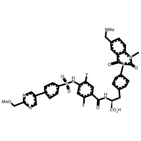 CNCc1ccc2c(c1)c(=O)n(-c1ccc(C[C@H](NC(=O)c3cc(F)c(NS(=O)(=O)c4ccc(-c5cnc(COC)nc5)cc4)cc3F)C(=O)O)cc1)c(=O)n2C